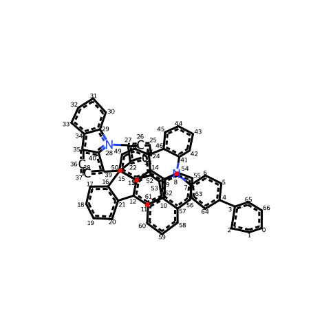 c1ccc(-c2ccc(N(c3ccc4c(c3)C3(c5ccccc5-4)c4ccccc4-n4c5ccccc5c5cccc3c54)c3ccccc3-c3ccccc3-c3cccc4ccccc34)cc2)cc1